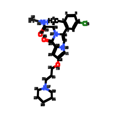 Cc1ccc(Cl)cc1-c1cn2cc(OCCCN3CCCCC3)cc2c(=O)n1CC(=O)NC(C)C